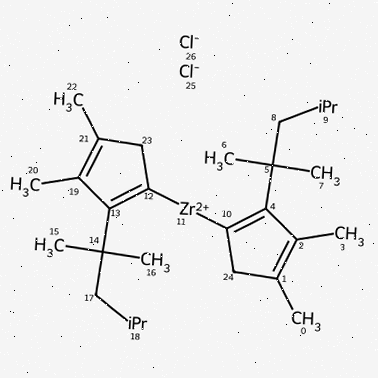 CC1=C(C)C(C(C)(C)CC(C)C)=[C]([Zr+2][C]2=C(C(C)(C)CC(C)C)C(C)=C(C)C2)C1.[Cl-].[Cl-]